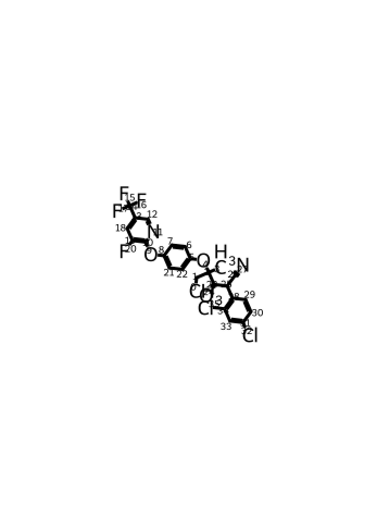 CCC(C)(Oc1ccc(Oc2ncc(C(F)(F)F)cc2F)cc1)C(=O)C(C#N)c1ccc(Cl)cc1Cl